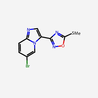 CSc1nc(-c2cnc3ccc(Br)cn23)no1